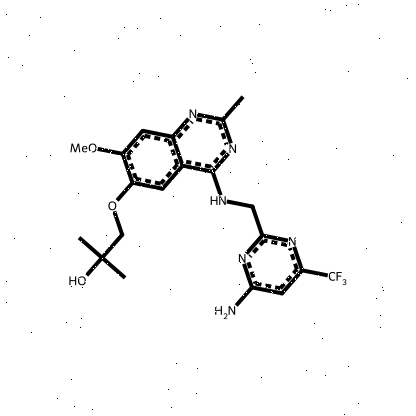 COc1cc2nc(C)nc(NCc3nc(N)cc(C(F)(F)F)n3)c2cc1OCC(C)(C)O